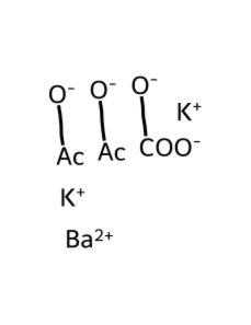 CC(=O)[O-].CC(=O)[O-].O=C([O-])[O-].[Ba+2].[K+].[K+]